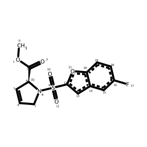 COC(=O)[C@@H]1C=CCN1S(=O)(=O)c1cc2cc(F)ccc2o1